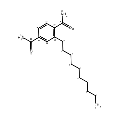 CCCCCCCCCCc1cc(C(N)=O)ccc1C(N)=O